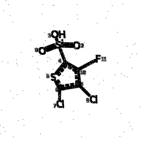 O=S(=O)(O)c1sc(Cl)c(Cl)c1F